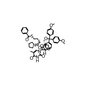 COc1ccc(C(OC[C@]23CO[C@@H](C2OP(SCCSC(=O)c2ccccc2)N2CCCC2)[C@H](n2cc(C)c(=O)[nH]c2=O)O3)(c2ccccc2)c2ccc(OC)cc2)cc1